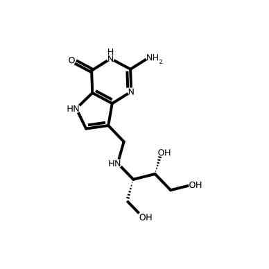 Nc1nc2c(CN[C@@H](CO)[C@H](O)CO)c[nH]c2c(=O)[nH]1